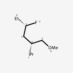 CC[C@H](F)C[C@H](COC)C(C)C